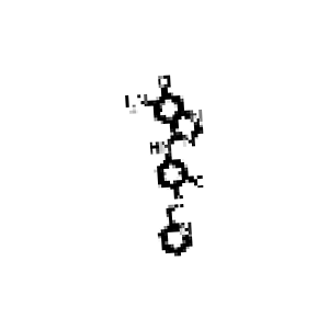 Nc1cc2c(Nc3ccc(OCc4ccccn4)c(Cl)c3)ncnc2cc1Cl